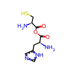 N[C@@H](CS)C(=O)OC(=O)[C@@H](N)Cc1cnc[nH]1